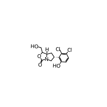 O=C1OC(CO)[C@@H]2C[C@H](c3c(O)ccc(Cl)c3Cl)CN12